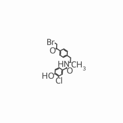 C[C@H](Cc1ccc(C(=O)CBr)cc1)NC(=O)c1ccc(O)c(Cl)c1